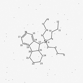 CCCC[Si](CCCC)(CCCC)C1c2ccccc2C2CCCCC21